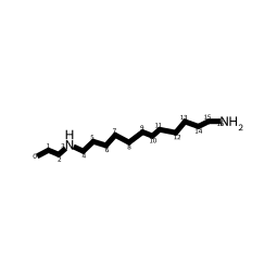 CCCNCCCCCCCCCCCCN